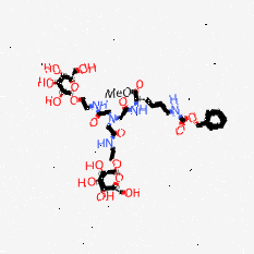 COC(=O)[C@H](CCCCNC(=O)OCc1ccccc1)NC(=O)CN(CC(=O)NCCO[C@H]1O[C@H](CO)[C@@H](O)[C@H](O)[C@@H]1O)CC(=O)NCCO[C@H]1O[C@H](CO)[C@@H](O)[C@H](O)[C@@H]1O